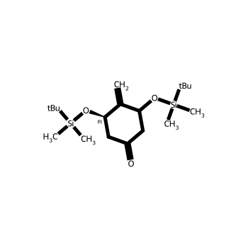 C=C1C(O[Si](C)(C)C(C)(C)C)CC(=O)C[C@H]1O[Si](C)(C)C(C)(C)C